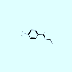 CC/N=C(\Cl)c1ccc([N+](=O)[O-])cc1